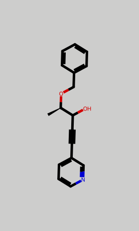 C[C@@H](OCc1ccccc1)C(O)C#Cc1cccnc1